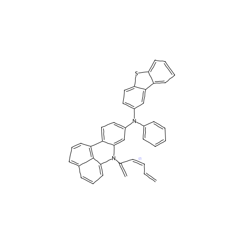 C=C/C=C\C(=C)N1c2cc(N(c3ccccc3)c3ccc4sc5ccccc5c4c3)ccc2-c2cccc3cccc1c23